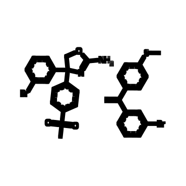 C=C(c1ccc(SC)cc1)c1cccc(Br)c1.CS(=O)(=O)c1ccc(C2(c3cccc(Br)c3)COC(N)=N2)cc1